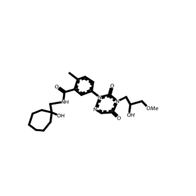 COCC(O)Cn1c(=O)cnn(-c2ccc(C)c(C(=O)NCC3(O)CCCCCC3)c2)c1=O